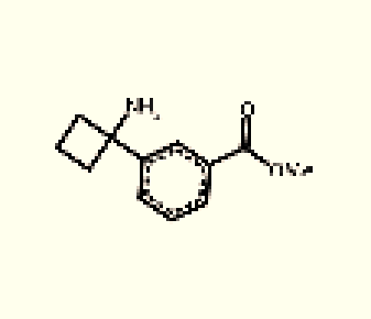 COC(=O)c1cccc(C2(N)CCC2)c1